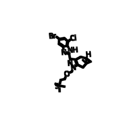 C[C@@]12Cc3c(c(-c4nc5cc(Br)cc(Cl)c5[nH]4)nn3COCC[Si](C)(C)C)C[C@@H]1C2